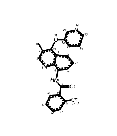 Cc1cnc2c(NC(=O)c3ccccc3C(F)(F)F)cccc2c1Oc1cccnc1